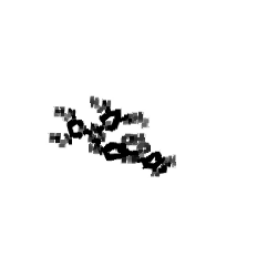 N[C@@H]1C[C@H](N)CN(c2nc(Nc3ccc(C(=O)Nc4ccc5[nH]cnc5c4)c(O)c3)nc(N3C[C@H](N)C[C@H](N)C3)n2)C1